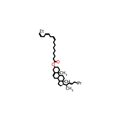 CC/C=C\C/C=C\C/C=C\CCCCCCCC(=O)OC1CC[C@@]2(C)C(=CCC3C2CC[C@@]2(C)C3CC[C@@H]2[C@H](C)CCCC(C)C)C1